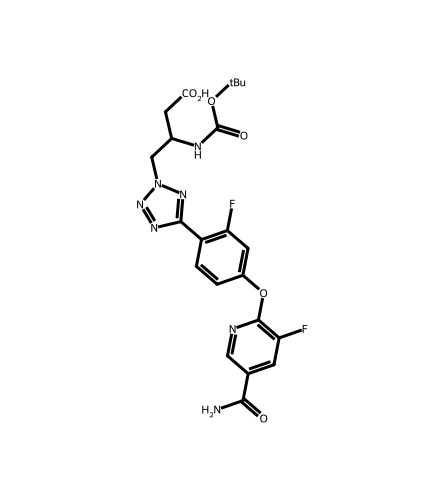 CC(C)(C)OC(=O)NC(CC(=O)O)Cn1nnc(-c2ccc(Oc3ncc(C(N)=O)cc3F)cc2F)n1